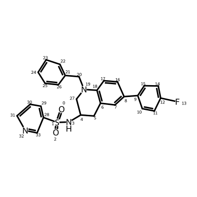 O=S(=O)(NC1Cc2cc(-c3ccc(F)cc3)ccc2N(Cc2ccccc2)C1)c1cccnc1